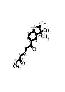 C=C1Nc2ccc(C(=O)CSCC(=O)OC)cc2C1(C)C